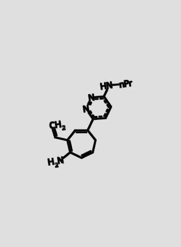 C=CC1=C(N)C=CCC(c2ccc(NCCC)nn2)=C1